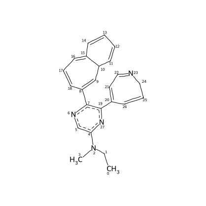 CCN(C)c1cnc(C2=CC3C=CC=CC3=CC=C2)c(C2=CC=NCC=C2)n1